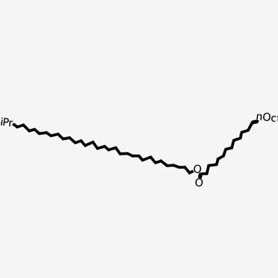 CCCCCCCCC=CCCCCCCCCCCCC(=O)OCCCCCCCCCCCCCCCCCCCCCCCCCCCCCCCC(C)C